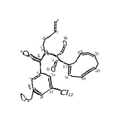 C=CCN(C(=O)c1cc(Cl)cc(Cl)c1)S(=O)(=O)c1ccccc1